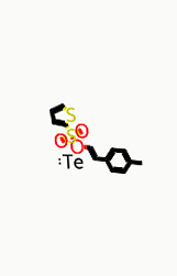 Cc1ccc(C=COS(=O)(=O)c2cccs2)cc1.[Te]